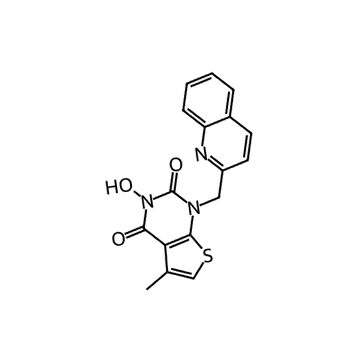 Cc1csc2c1c(=O)n(O)c(=O)n2Cc1ccc2ccccc2n1